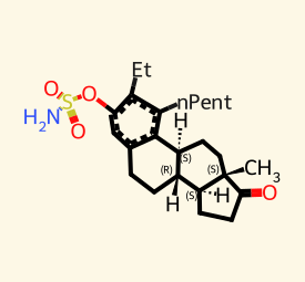 CCCCCc1c(CC)c(OS(N)(=O)=O)cc2c1[C@H]1CC[C@]3(C)C(=O)CC[C@H]3[C@@H]1CC2